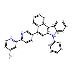 N#Cc1ccnc(-c2ccc(-c3cc4c(c5ccccc35)c3ccccc3n4-c3ccccc3)cn2)c1